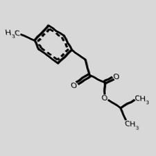 Cc1ccc(CC(=O)C(=O)OC(C)C)cc1